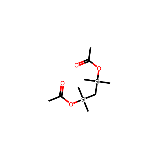 CC(=O)O[Si](C)(C)C[Si](C)(C)OC(C)=O